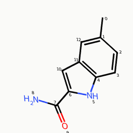 Cc1ccc2[nH]c(C(N)=O)cc2c1